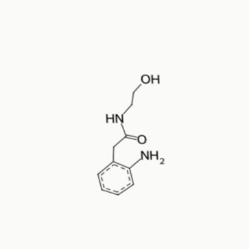 Nc1ccccc1CC(=O)NCCO